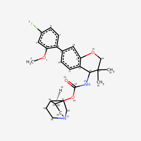 COc1cc(F)ccc1-c1ccc2c(c1)OCC(C)(C)C2NC(=O)O[C@H]1CN2CCC1CC2